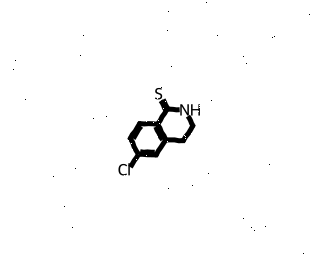 S=C1NCCc2cc(Cl)ccc21